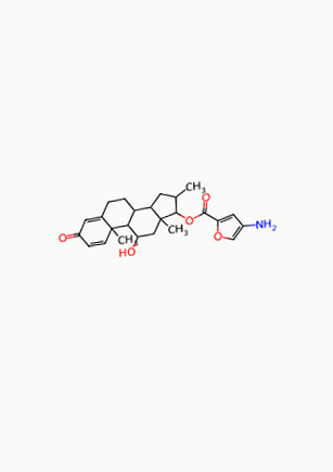 CC1CC2C3CCC4=CC(=O)C=CC4(C)C3C(O)CC2(C)C1OC(=O)c1cc(N)co1